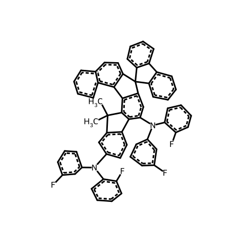 CC1(C)c2cc(N(c3cccc(F)c3)c3ccccc3F)ccc2-c2c(N(c3cccc(F)c3)c3ccccc3F)cc3c(c21)-c1c(ccc2ccccc12)C31c2ccccc2-c2ccccc21